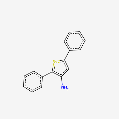 Nc1cc(-c2ccccc2)sc1-c1ccccc1